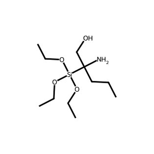 CCCC(N)(CO)[Si](OCC)(OCC)OCC